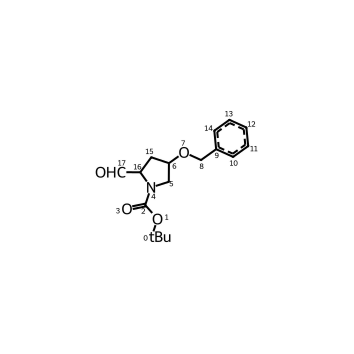 CC(C)(C)OC(=O)N1CC(OCc2ccccc2)CC1C=O